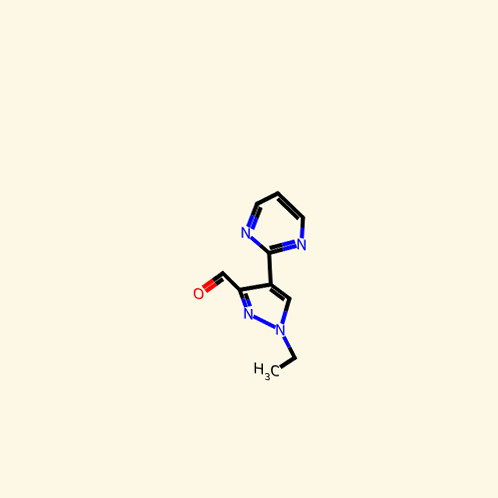 CCn1cc(-c2ncccn2)c(C=O)n1